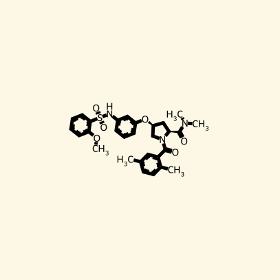 COc1ccccc1S(=O)(=O)Nc1cccc(O[C@H]2C[C@@H](C(=O)N(C)C)N(C(=O)c3cc(C)ccc3C)C2)c1